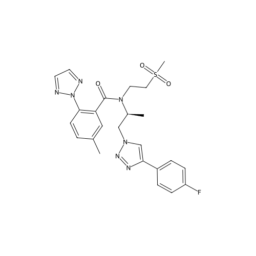 Cc1ccc(-n2nccn2)c(C(=O)N(CCS(C)(=O)=O)[C@@H](C)Cn2cc(-c3ccc(F)cc3)nn2)c1